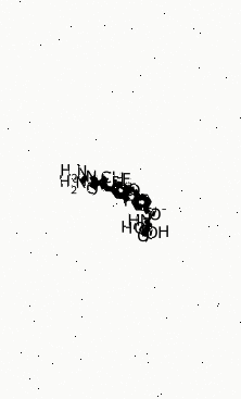 C/C(=C\c1cc(F)c(Oc2ccc([S+]([O-])NCP(=O)(O)O)cc2)c(F)c1)C(=O)N=C(N)N